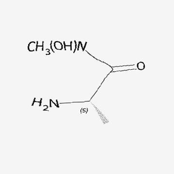 C[C@H](N)C(=O)N(C)O